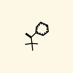 [CH]=C(c1ccccc1)C(C)(C)C